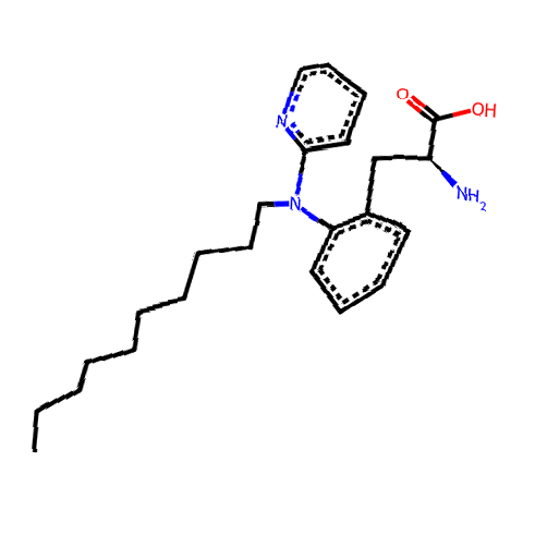 CCCCCCCCCCN(c1ccccn1)c1ccccc1C[C@H](N)C(=O)O